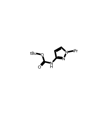 CC(C)n1ccc(NC(=O)OC(C)(C)C)n1